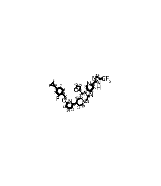 Fc1cc(C2CC2)ccc1COc1cccc(C2CCN(Cc3nc4cc(-c5nnc(C(F)(F)F)[nH]5)ncc4n3C[C@@H]3CCO3)CC2)n1